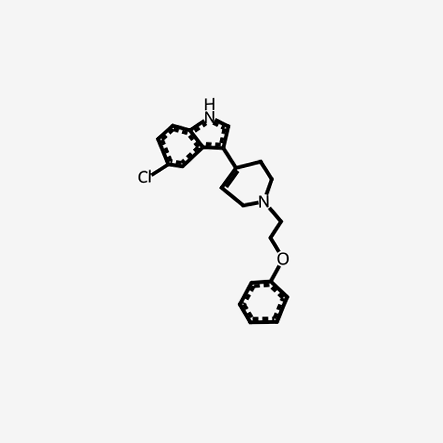 Clc1ccc2[nH]cc(C3=CCN(CCOc4ccccc4)CC3)c2c1